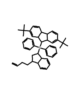 C=CCCC1CC([Si](c2ccccc2)(c2ccccc2)C2C3C=C(C(C)(C)C)C=CC3C3C=CC(C(C)(C)C)=CC32)C2C=CC=CC12